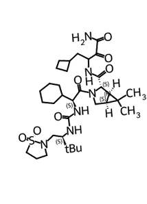 CC(C)(C)[C@@H](CN1CCCS1(=O)=O)NC(=O)N[C@H](C(=O)N1C[C@H]2[C@@H]([C@H]1C(=O)NC(CC1CCC1)C(=O)C(N)=O)C2(C)C)C1CCCCC1